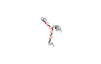 C=CC.CCCCOCCOCC(C)OCCOCCCC